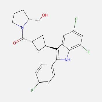 O=C([C@H]1C[C@H](c2c(-c3ccc(F)cc3)[nH]c3c(F)cc(F)cc32)C1)N1CCC[C@@H]1CO